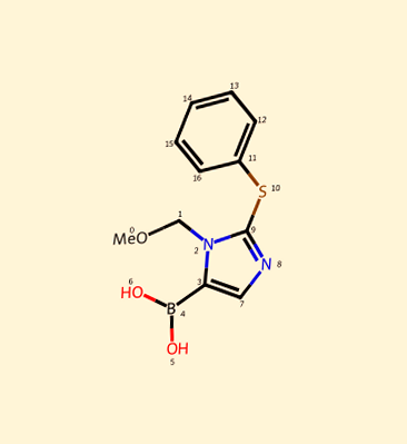 COCn1c(B(O)O)cnc1Sc1ccccc1